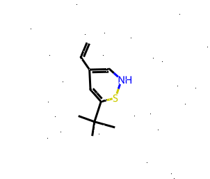 C=CC1=CNSC(C(C)(C)C)=C1